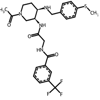 CSc1ccc(CN[C@@H]2CCN(C(C)=O)C[C@@H]2NC(=O)CNC(=O)c2cccc(C(F)(F)F)c2)cc1